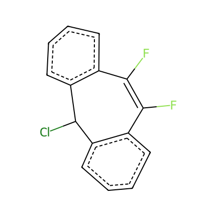 FC1=C(F)c2ccccc2C(Cl)c2ccccc21